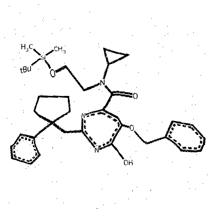 CC(C)(C)[Si](C)(C)OCCN(C(=O)c1nc(CC2(c3ccccc3)CCCC2)nc(O)c1OCc1ccccc1)C1CC1